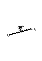 CCCCCCCCCCCN(CCCCCCCCCCC)C([O-])=S.NC([O-])=S.[Zn+2]